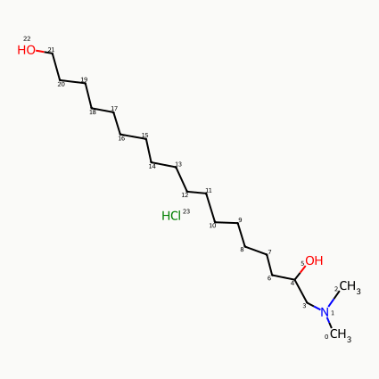 CN(C)CC(O)CCCCCCCCCCCCCCCCO.Cl